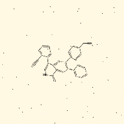 N#Cc1ccccc1-c1c[nH]c(=O)c2cc(-c3ccccc3)c(-c3ccc(CN)cc3)nc12